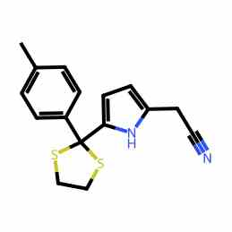 Cc1ccc(C2(c3ccc(CC#N)[nH]3)SCCS2)cc1